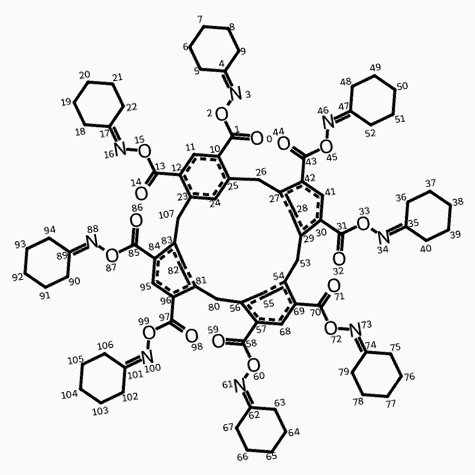 O=C(ON=C1CCCCC1)c1cc(C(=O)ON=C2CCCCC2)c2cc1Cc1cc(c(C(=O)ON=C3CCCCC3)cc1C(=O)ON=C1CCCCC1)Cc1cc(c(C(=O)ON=C3CCCCC3)cc1C(=O)ON=C1CCCCC1)Cc1cc(c(C(=O)ON=C3CCCCC3)cc1C(=O)ON=C1CCCCC1)C2